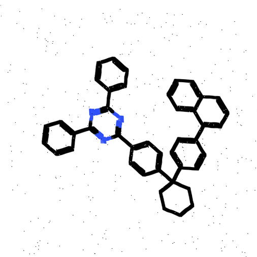 c1ccc(-c2nc(-c3ccccc3)nc(-c3ccc(C4(c5ccc(-c6cccc7ccccc67)cc5)CCCCC4)cc3)n2)cc1